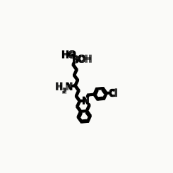 NC(CCCCB(O)O)CCC1Cc2ccccc2CN1Cc1ccc(Cl)cc1